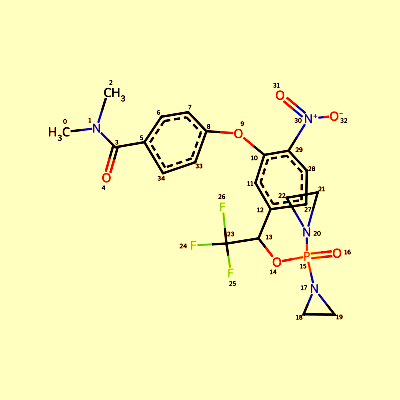 CN(C)C(=O)c1ccc(Oc2cc(C(OP(=O)(N3CC3)N3CC3)C(F)(F)F)ccc2[N+](=O)[O-])cc1